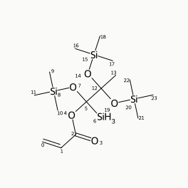 C=CC(=O)OC([SiH3])(O[Si](C)(C)C)C(C)(O[Si](C)(C)C)O[Si](C)(C)C